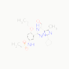 C=CS(=O)(=O)Nc1ccc(OCCC)c(C2=Nn3c(C4CCCC4)nc(C)c3C(C=O)N2)c1